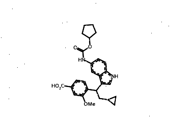 COc1cc(C(=O)O)ccc1C(CC1CC1)c1c[nH]c2ccc(NC(=O)OC3CCCC3)cc12